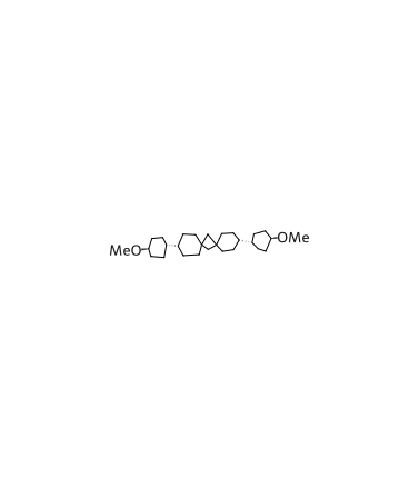 CO[C@H]1CC[C@H](C2CCC3(CC2)CC2(CCC([C@H]4CC[C@H](OC)CC4)CC2)C3)CC1